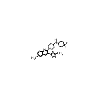 Cc1ccc2nc(N3CCC(NC4CCC(F)(F)CC4)CC3)c(-c3nc(C)no3)cc2c1